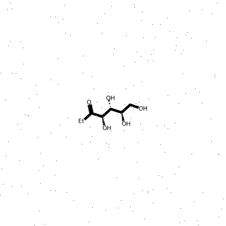 CCC(=O)[C@H](O)[C@H](O)[C@H](O)CO